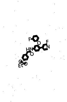 CCS(=O)(=O)c1ccc(CC(=O)Nc2ccc(-c3ccnc(F)c3)c(Oc3cccc(F)c3)c2)cc1